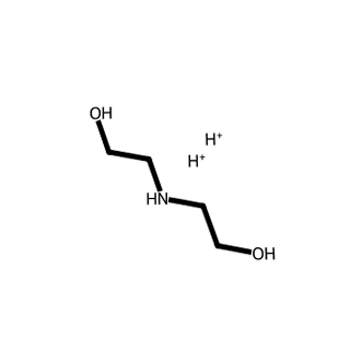 OCCNCCO.[H+].[H+]